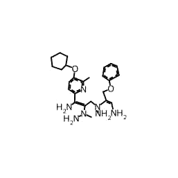 Cc1nc(/C(N)=C(\CN(N)/C(=C\N)COc2ccccc2)N(C)N)ccc1OC1CCCCC1